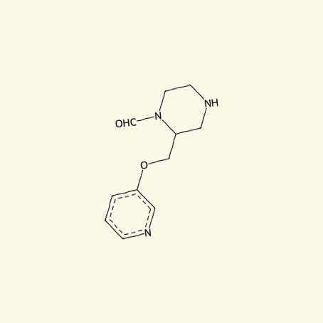 O=CN1CCNCC1COc1cccnc1